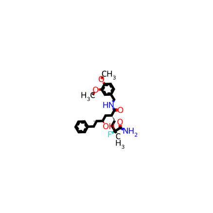 COc1ccc(CNC(=O)[C@H](CCC(C)(F)C(N)=O)C[C@@H](O)[CH]Cc2ccccc2)cc1OC